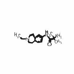 CCN1CCc2ccc(NC(=O)C(C)(C)N)cc2CC1